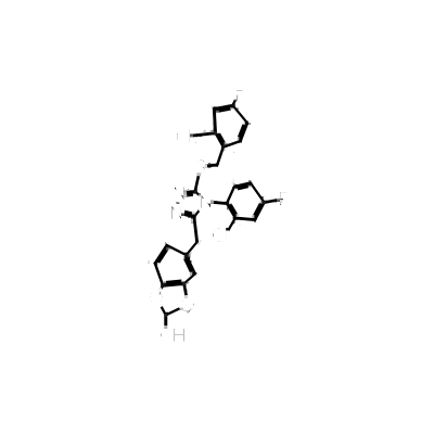 CC1Oc2ccc(Cc3nnc(SCc4ccc(F)cc4Cl)n3-c3ccc(F)cc3Cl)cc2O1